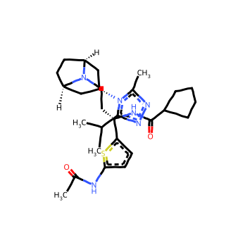 CC(=O)Nc1ccc([C@H](CCN2[C@@H]3CC[C@H]2C[C@H](n2c(C)nnc2C(C)C)C3)NC(=O)C2CCCC2)s1